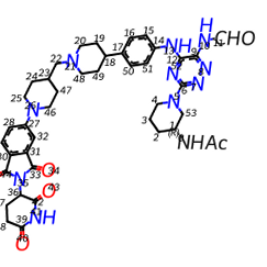 CC(=O)N[C@@H]1CCCN(c2nnc(NC=O)c(Nc3ccc(C4CCN(CC5CCN(c6ccc7c(c6)C(=O)N(C6CCC(=O)NC6=O)C7=O)CC5)CC4)cc3)n2)C1